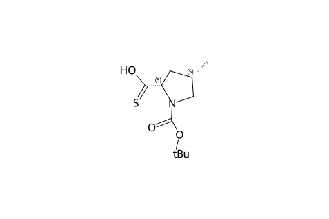 C[C@H]1C[C@@H](C(O)=S)N(C(=O)OC(C)(C)C)C1